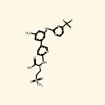 Cc1cc(Nc2nccc(C(F)(F)F)n2)cc(-c2ccc(N[C@@H](CCS(C)(=O)=O)C(=O)O)nc2)c1